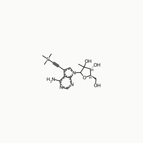 CC1(O)C(n2cc(C#C[Si](C)(C)C)c3c(N)ncnc32)O[C@H](CO)[C@H]1O